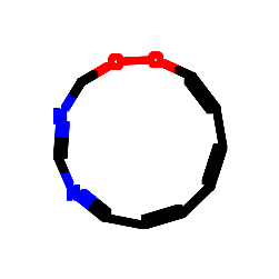 C1=CC=COOCN=CN=CC=C1